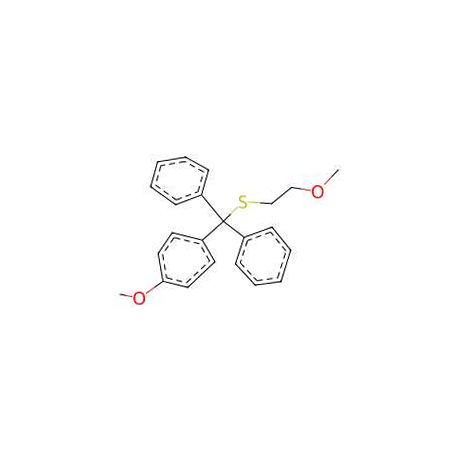 COCCSC(c1ccccc1)(c1ccccc1)c1ccc(OC)cc1